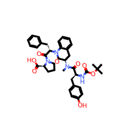 CN(C(=O)[C@H](Cc1ccc(O)cc1)NC(=O)OC(C)(C)C)[C@H]1Cc2ccccc2N([C@@H](Cc2ccccc2)C(=O)N2CCC[C@H]2C(=O)O)C1=O